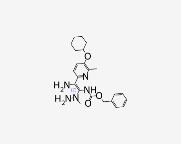 Cc1nc(/C(N)=C(\NC(=O)OCc2ccccc2)N(C)N)ccc1OC1CCCCC1